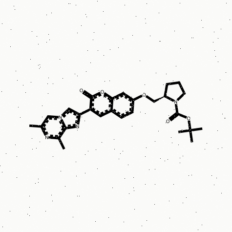 Cc1cn2cc(-c3cc4ccc(OC[C@H]5CCCN5C(=O)OC(C)(C)C)cc4oc3=O)nc2c(C)n1